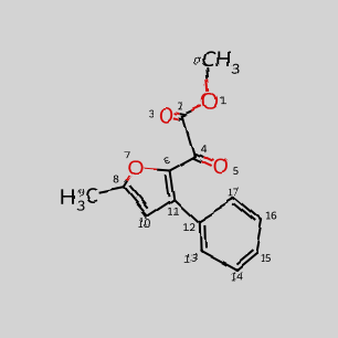 COC(=O)C(=O)c1oc(C)cc1-c1ccccc1